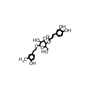 Cc1cc(CCOC2O[C@H](CO)C(OC(=O)/C=C/c3ccc(O)c(O)c3)C(C)C2O)ccc1O